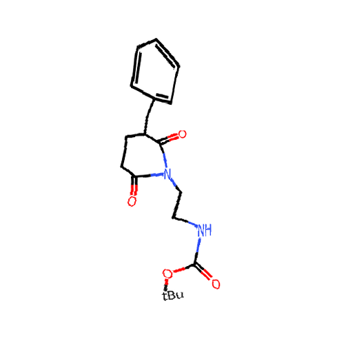 CC(C)(C)OC(=O)NCCN1C(=O)CCC(c2ccccc2)C1=O